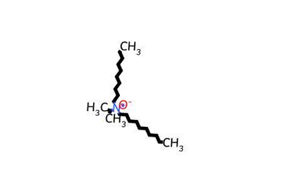 CCCCCCCCCC[N+]([O-])(CCCCCCCCCC)C(C)C